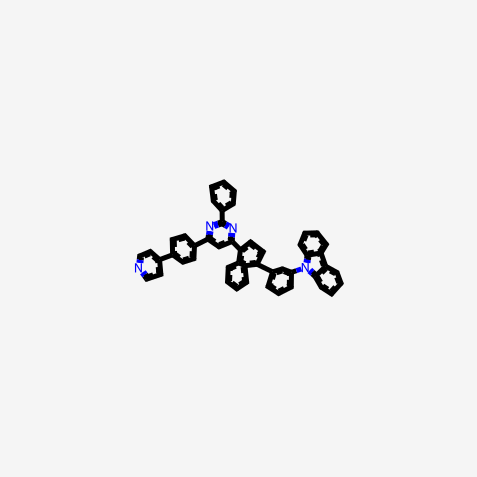 c1ccc(-c2nc(-c3ccc(-c4ccncc4)cc3)cc(-c3ccc(-c4cccc(-n5c6ccccc6c6ccccc65)c4)c4ccccc34)n2)cc1